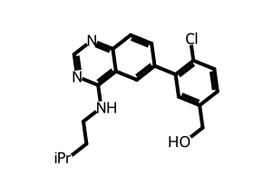 CC(C)CCNc1ncnc2ccc(-c3cc(CO)ccc3Cl)cc12